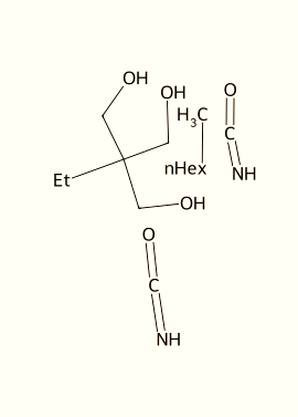 CCC(CO)(CO)CO.CCCCCCC.N=C=O.N=C=O